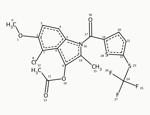 COc1ccc2c(c1Cl)c(OC(C)=O)c(C)n2C(=O)c1ccc(SC(F)(F)F)s1